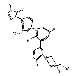 Cc1ncc(-c2cc(F)cc(-c3ccc(-n4ccn(C)c4=O)c(Cl)c3)c2O)cc1N1CC(O)(CO)C1